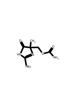 CCCCC1=NC(C)(COC(N)=O)C(=O)N1